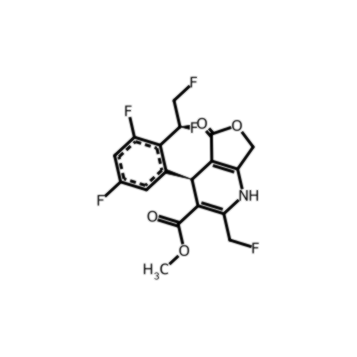 COC(=O)C1=C(CF)NC2=C(C(=O)OC2)[C@@H]1c1cc(F)cc(F)c1[C@H](F)CF